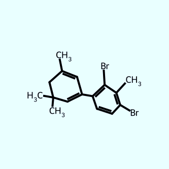 CC1=CC(c2ccc(Br)c(C)c2Br)=CC(C)(C)C1